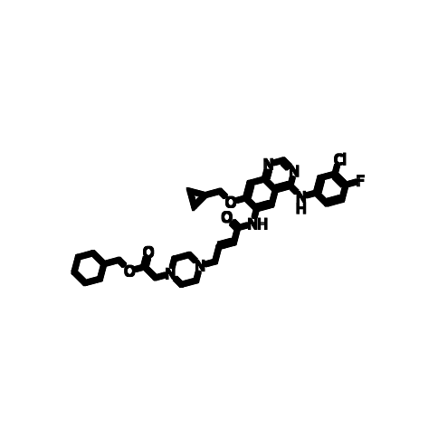 O=C(/C=C/CN1CCN(CC(=O)OCC2CCCCC2)CC1)Nc1cc2c(Nc3ccc(F)c(Cl)c3)ncnc2cc1OCC1CC1